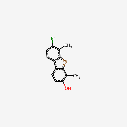 Cc1c(O)ccc2c1sc1c(C)c(Br)ccc12